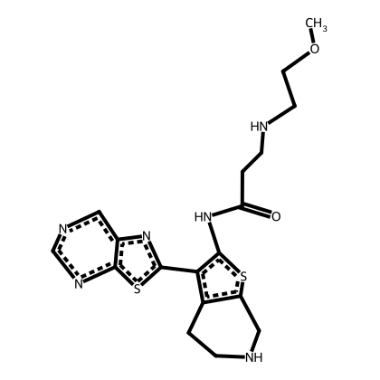 COCCNCCC(=O)Nc1sc2c(c1-c1nc3cncnc3s1)CCNC2